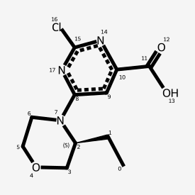 CC[C@H]1COCCN1c1cc(C(=O)O)nc(Cl)n1